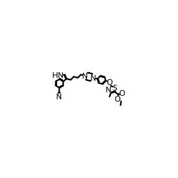 CCOC(=O)c1sc(Oc2ccc(N3CCN(CCCCc4c[nH]c5ccc(C#N)cc45)CC3)cc2)nc1C